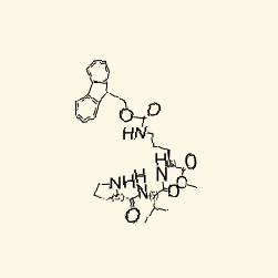 COC(=O)[C@H](CCCNC(=O)OCC1c2ccccc2-c2ccccc21)NC(=O)[C@@H](NC(=O)[C@@H]1CCCN1)C(C)C